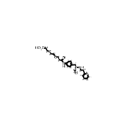 CCOP(Cc1ccc(NC(=O)CCOCCOCCC(=O)O)cc1)NCCc1ccccn1